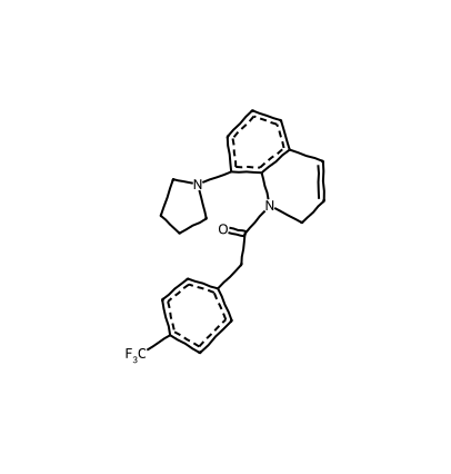 O=C(Cc1ccc(C(F)(F)F)cc1)N1CC=Cc2cccc(N3CCCC3)c21